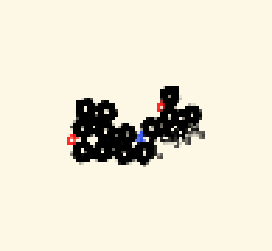 Cc1ccccc1N(c1ccc2c(c1)C(C)(C)c1c3c(c4c(oc5ccccc54)c1-2)-c1ccccc1C3(C)C)c1ccc2c(c1)C1(c3ccccc3-c3ccccc31)c1cc3c(cc1-2)C1(c2ccccc2-c2ccccc21)c1ccc2oc4ccccc4c2c1-3